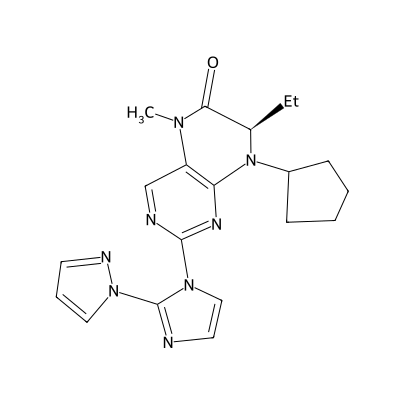 CC[C@@H]1C(=O)N(C)c2cnc(-n3ccnc3-n3cccn3)nc2N1C1CCCC1